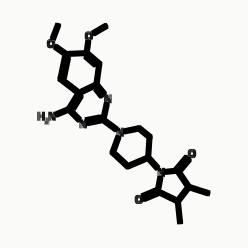 COc1cc2nc(N3CCC(N4C(=O)C(C)C(C)C4=O)CC3)nc(N)c2cc1OC